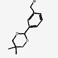 CC1(C)COC(c2cccc(CBr)c2)OC1